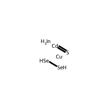 [Cu].[InH3].[S]=[Cd].[SeH][SeH]